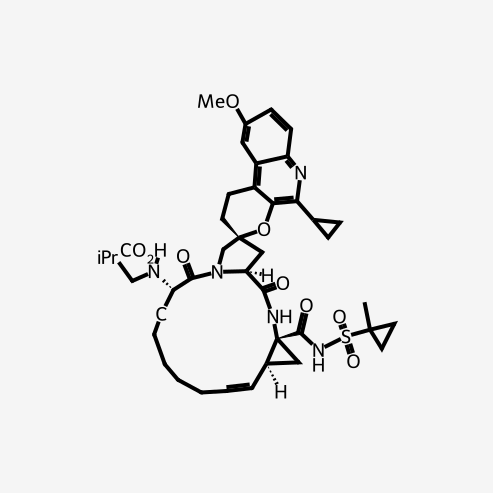 COc1ccc2nc(C3CC3)c3c(c2c1)CC[C@]1(C[C@H]2C(=O)N[C@]4(C(=O)NS(=O)(=O)C5(C)CC5)C[C@H]4/C=C\CCCCC[C@H](N(CC(C)C)C(=O)O)C(=O)N2C1)O3